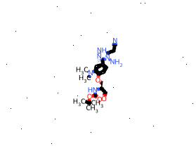 CN(C)c1cc(/C(=N/N)N(N)CCC#N)ccc1OC[C@@H](C=O)NC(=O)OC(C)(C)C